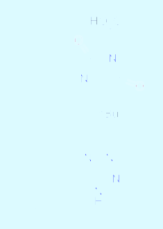 CCCCC1C(=O)N(CC(=O)O)C(=O)N1Cc1ccc(-c2ccccc2-c2nnn[nH]2)cc1